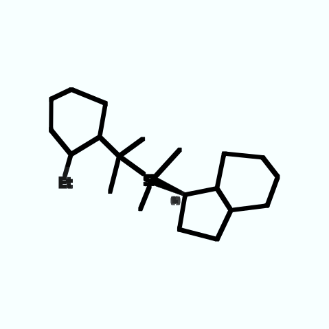 CCC1CCCCC1C(C)(C)[Si](C)(C)[C@@H]1CCC2CCCCC21